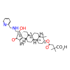 CC(C)C1=C2[C@H]3CC[C@@H]4[C@@]5(C)CC[C@H](OC(=O)CC(C)(C)C(=O)O)C(C)(C)[C@@H]5CC[C@@]4(C)[C@]3(C)CC[C@@]2([C@H](O)CNCc2ccccn2)CC1=O